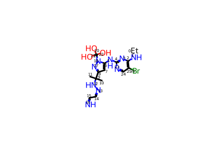 CCNc1nc(Nc2cc(C(C)(C)N/N=C\C=N)nn2C(O)(O)O)ncc1Br